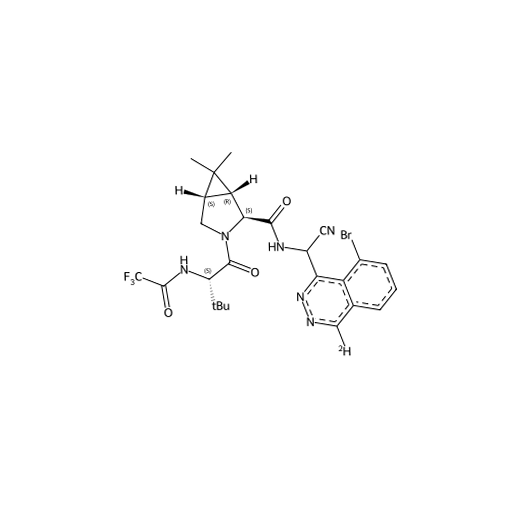 [2H]c1nnc(C(C#N)NC(=O)[C@@H]2[C@@H]3[C@H](CN2C(=O)[C@@H](NC(=O)C(F)(F)F)C(C)(C)C)C3(C)C)c2c(Br)cccc12